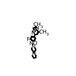 Cc1cn2nc(-c3cc(F)c4nc(N5CCC(N6CCCC6)CC5)oc4c3)cc(C)c2n1